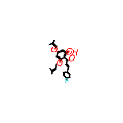 CC(C)=CCOc1cc(OC=C(C)C)cc(O)c1C(=O)/C=C/c1ccc(F)cc1